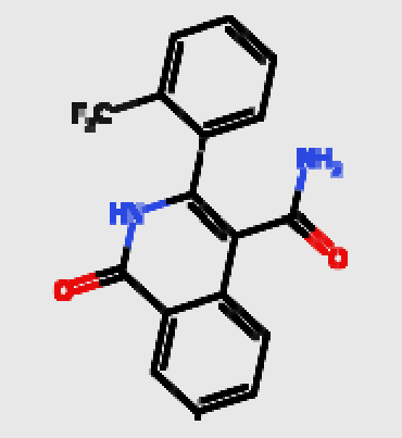 NC(=O)c1c(-c2ccccc2C(F)(F)F)[nH]c(=O)c2c[c]ccc12